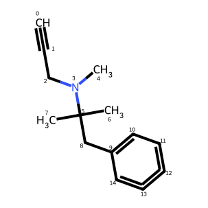 C#CCN(C)C(C)(C)CC1=CC=C=C=C1